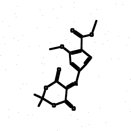 COC(=O)c1ccc(N=C2C(=O)OC(C)(C)OC2=O)cc1OC